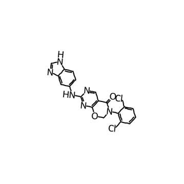 O=C1c2cnc(Nc3ccc4[nH]cnc4c3)nc2OCN1c1c(Cl)cccc1Cl